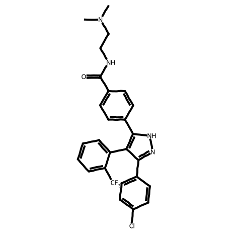 CN(C)CCNC(=O)c1ccc(-c2[nH]nc(-c3ccc(Cl)cc3)c2-c2ccccc2C(F)(F)F)cc1